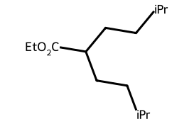 CCOC(=O)C(CCC(C)C)CCC(C)C